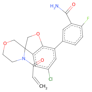 C=CC(=O)N1CCOCC12COc1c(-c3ccc(F)c(C(N)=O)c3)cc(Cl)cc12